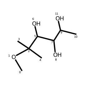 COC(C)(C)C(O)C(O)C(C)O